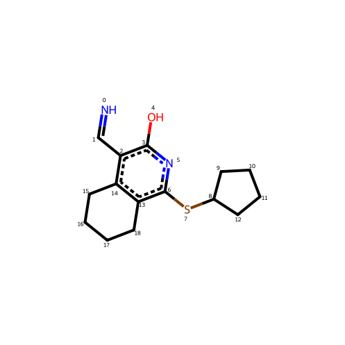 N=Cc1c(O)nc(SC2CCCC2)c2c1CCCC2